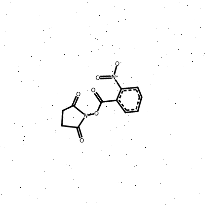 O=C(ON1C(=O)CCC1=O)c1ccccc1[N+](=O)[O-]